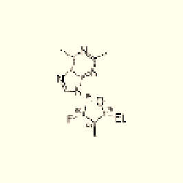 CC[C@H]1O[C@@H](n2cnc3c(C)nc(C)nc32)[C@@H](F)[C@@H]1C